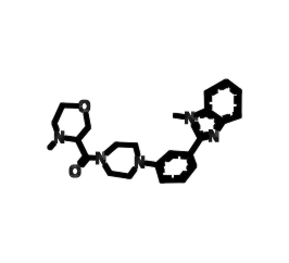 CN1CCOCC1C(=O)N1CCN(c2cccc(-c3nc4ccccc4n3C)c2)CC1